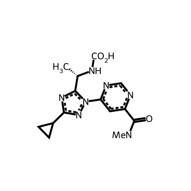 CNC(=O)c1cc(-n2nc(C3CC3)nc2[C@H](C)NC(=O)O)ncn1